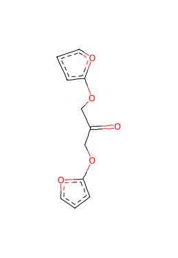 O=C(COc1ccco1)COc1ccco1